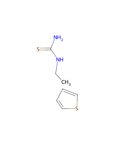 CCNC(N)=S.c1ccsc1